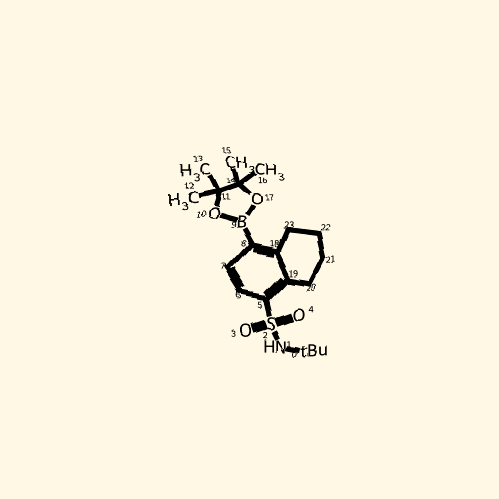 CC(C)(C)NS(=O)(=O)c1ccc(B2OC(C)(C)C(C)(C)O2)c2c1CCCC2